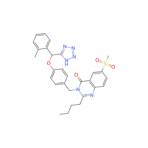 CCCCc1nc2ccc(S(C)(=O)=O)cc2c(=O)n1Cc1ccc(OC(c2nnn[nH]2)c2ccccc2C)cc1